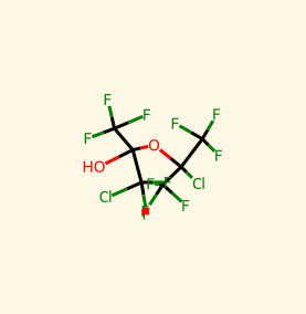 OC(OC(Cl)(C(F)(F)F)C(F)(F)F)(C(F)(F)F)C(F)(F)Cl